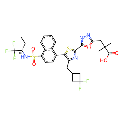 CC[C@H](NS(=O)(=O)c1ccc(-c2sc(-c3nnc(CC(C)(C)C(=O)O)o3)nc2CC2CC(F)(F)C2)c2ccccc12)C(F)(F)F